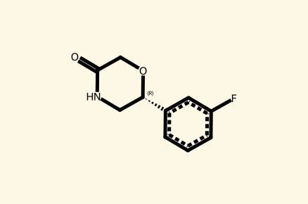 O=C1CO[C@H](c2cccc(F)c2)CN1